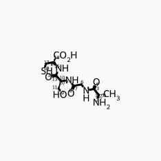 C[C@H](N)C(=O)NCC(=O)N[C@@H](CO)C(=O)N[C@@H](CS)C(=O)O